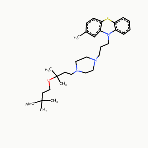 COC(C)(C)CCOC(C)(C)CCN1CCN(CCCN2c3ccccc3Sc3ccc(C(F)(F)F)cc32)CC1